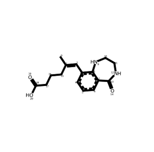 CC(=Cc1cccc2c1NCCNC2=O)CCCC(=O)O